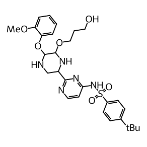 COc1ccccc1OC1NCC(c2nccc(NS(=O)(=O)c3ccc(C(C)(C)C)cc3)n2)NC1OCCCO